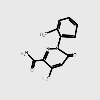 Cc1ccccc1-n1nc(C(N)=O)c(C)cc1=O